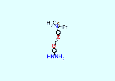 Cc1nc(-c2ccc(OCCCCOc3ccc(C(=N)N)cc3)cc2)c(C(C)C)s1